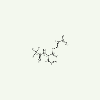 CC(=O)OCCc1cccnc1NC(=O)C(C)(C)C